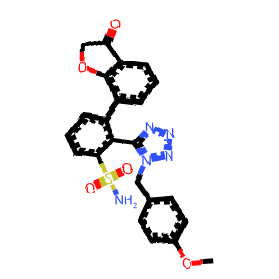 COc1ccc(Cn2nnnc2-c2c(-c3cccc4c3OCC4=O)cccc2S(N)(=O)=O)cc1